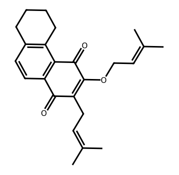 CC(C)=CCOC1=C(CC=C(C)C)C(=O)c2ccc3c(c2C1=O)CCCC3